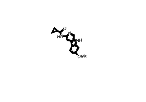 COc1ccc2c(c1)[nH]c1cnc(NC(=O)C3CC3)cc12